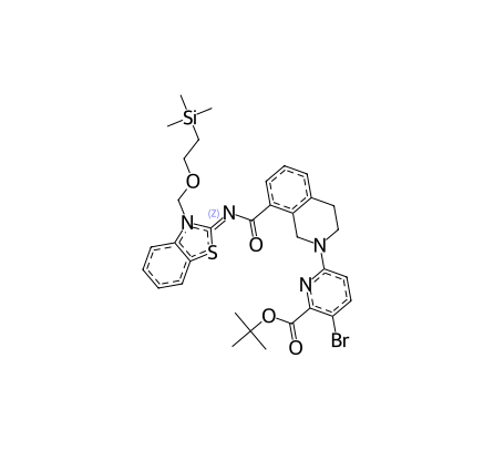 CC(C)(C)OC(=O)c1nc(N2CCc3cccc(C(=O)/N=c4\sc5ccccc5n4COCC[Si](C)(C)C)c3C2)ccc1Br